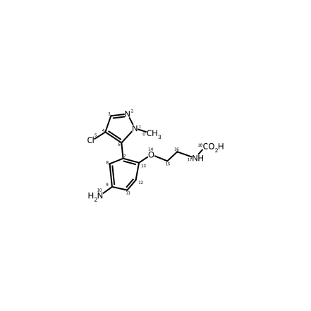 Cn1ncc(Cl)c1-c1cc(N)ccc1OCCNC(=O)O